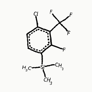 C[Si](C)(C)c1ccc(Cl)c(C(F)(F)F)c1F